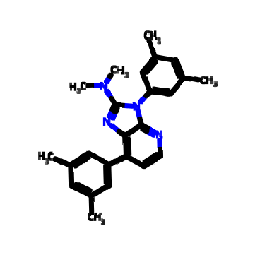 Cc1cc(C)cc(-c2ccnc3c2nc(N(C)C)n3-c2cc(C)cc(C)c2)c1